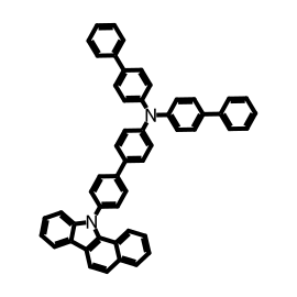 c1ccc(-c2ccc(N(c3ccc(-c4ccccc4)cc3)c3ccc(-c4ccc(-n5c6ccccc6c6ccc7ccccc7c65)cc4)cc3)cc2)cc1